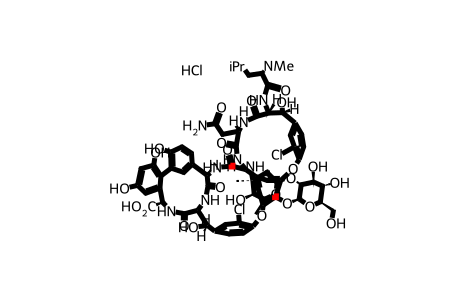 CN[C@H](CC(C)C)C(=O)N[C@H]1C(=O)N[C@@H](CC(N)=O)C(=O)N[C@H]2C(=O)N[C@H]3C(=O)N[C@H](C(=O)N[C@@H](C(=O)O)c4cc(O)cc(O)c4-c4cc3ccc4O)[C@H](O)c3ccc(c(Cl)c3)Oc3cc2cc(c3O[C@@H]2O[C@H](CO)[C@@H](O)[C@H](O)[C@H]2O[C@H]2C[C@](C)(N)[C@H](O)[C@H](C)O2)Oc2ccc(cc2Cl)[C@H]1O.Cl